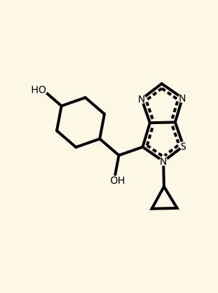 OC1CCC(C(O)c2c3ncnc-3sn2C2CC2)CC1